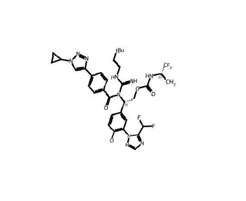 C[C@H](NC(=O)OC[C@H](c1ccc(Cl)c(-n2ncnc2C(F)F)c1)N(C(=N)NCCC(C)(C)C)C(=O)c1ccc(-c2cn(C3CC3)nn2)cc1)C(F)(F)F